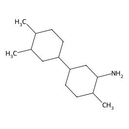 CC1CCC(C2CCC(C)C(N)C2)CC1C